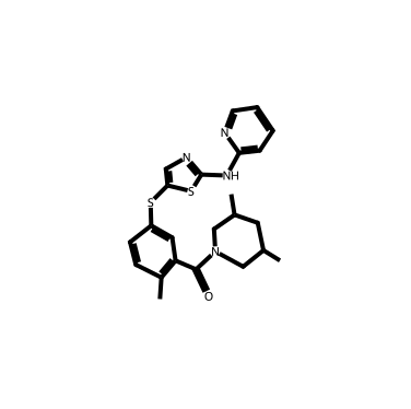 Cc1ccc(Sc2cnc(Nc3ccccn3)s2)cc1C(=O)N1CC(C)CC(C)C1